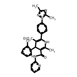 CCOC(=O)C1=C(c2ccc(-n3nc(C)nc3C)cc2)NC(C)=C(C(=O)Nc2ccccn2)C1c1ccccc1Cl